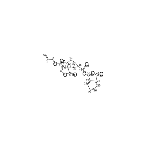 C=CCOC(=O)N1COC(=O)C12C(F)CC1C(C(=O)OC3OC(=O)c4ccccc43)C12